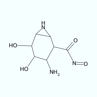 NC1C(O)C(O)C2NC2C1C(=O)N=O